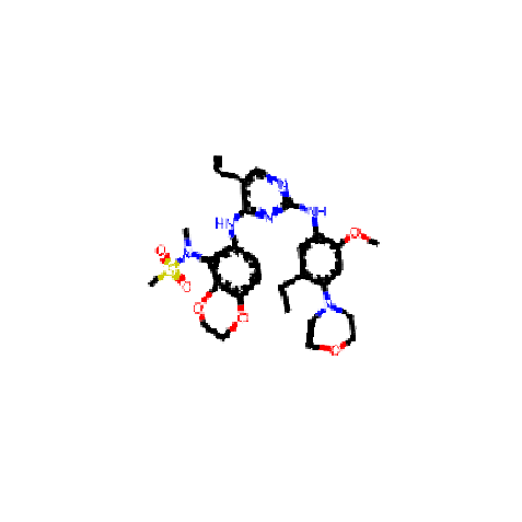 C=Cc1cnc(Nc2cc(CC)c(N3CCOCC3)cc2OC)nc1Nc1ccc2c(c1N(C)S(C)(=O)=O)OCCO2